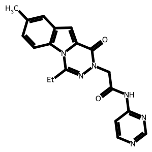 CCc1nn(CC(=O)Nc2ccncn2)c(=O)c2cc3cc(C)ccc3n12